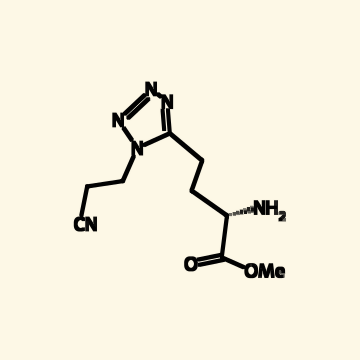 COC(=O)[C@@H](N)CCc1nnnn1CCC#N